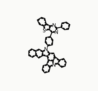 c1ccc(-c2nc(-c3ccc(-n4c5cc6ccccc6cc5c5c6c7ccccc7n7c8ccccc8c(cc54)c67)cc3)c3sc4ccccc4c3n2)cc1